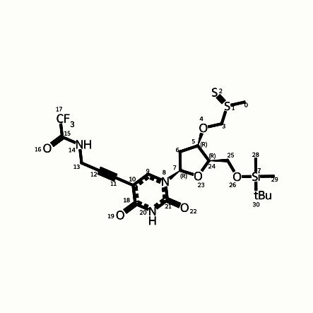 CS(=S)CO[C@@H]1C[C@H](n2cc(C#CCNC(=O)C(F)(F)F)c(=O)[nH]c2=O)O[C@@H]1CO[Si](C)(C)C(C)(C)C